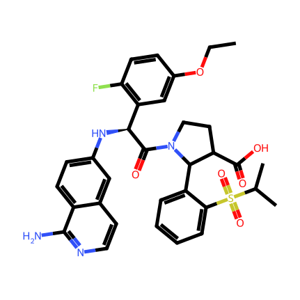 CCOc1ccc(F)c([C@H](Nc2ccc3c(N)nccc3c2)C(=O)N2CCC(C(=O)O)C2c2ccccc2S(=O)(=O)C(C)C)c1